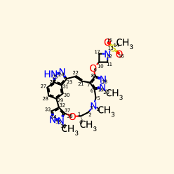 C[C@H]1CN(C)Cc2c(c(OC3CN(S(C)(=O)=O)C3)nn2C)/C=C/c2n[nH]c3ccc(cc23)-c2cnn(C)c2O1